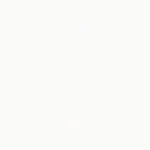 Cc1cc(F)ccc1C1CCC(=O)c2c1ccc1c2ccc2ccccc21.O=C(O)c1ccccn1